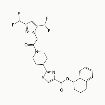 O=C(OC1CCCc2ccccc21)c1csc(C2CCN(C(=O)Cn3nc(C(F)F)cc3C(F)F)CC2)n1